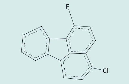 Fc1ccc2c(Cl)ccc3c2c1-c1ccccc1-3